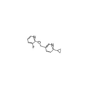 Fc1cccnc1OCc1ccc(C2CC2)nc1